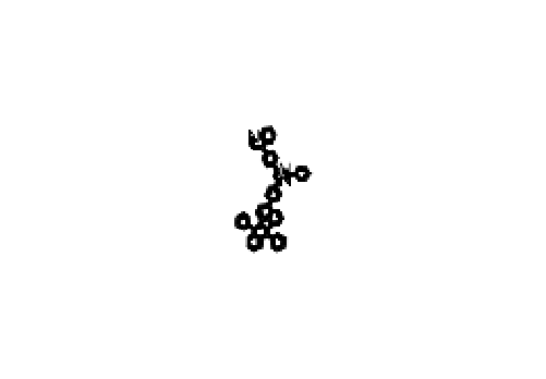 c1ccc(-c2nc(-c3ccc(-c4ccnc5ccccc45)cc3)cc(-c3ccc(-c4ccc5c6c(cccc46)-c4c-5c(-c5ccccc5)c5ccccc5c4-c4ccccc4)cc3)n2)cc1